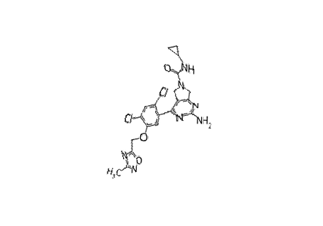 Cc1noc(COc2cc(-c3nc(N)nc4c3CN(C(=O)NC3CC3)C4)c(Cl)cc2Cl)n1